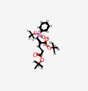 CC(C)(C)OC(=O)CCC(=CP(=O)(OC(C)(C)C)c1ccccc1)C(=O)OC(C)(C)C